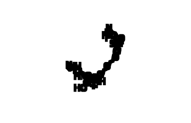 CC(C)(C)[C@H](NC(=O)COCCCOCCCCOc1ccc(N2C(=S)N(c3ccc(C#N)c(C(F)(F)F)c3)C(=O)C2(C)C)cc1)C(=O)N1C[C@H](O)C[C@H]1C(=O)NCc1ccc(-c2ccn[nH]2)cc1